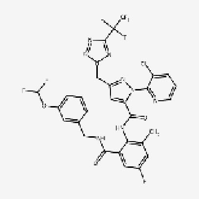 Cc1cc(F)cc(C(=O)NCc2cccc(OC(F)F)c2)c1NC(=O)c1cc(Cn2nnc(C(F)(F)C(F)(F)F)n2)nn1-c1ncccc1Cl